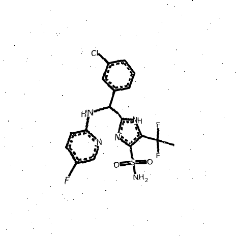 CC(F)(F)c1[nH]c(C(Nc2ccc(F)cn2)c2cccc(Cl)c2)nc1S(N)(=O)=O